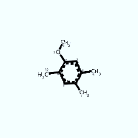 [CH2]Oc1cc(C)c(C)cc1C